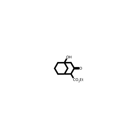 CCOC(=O)C1C(=O)CC2(O)CCCC1C2